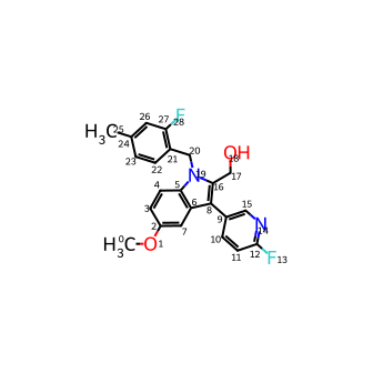 COc1ccc2c(c1)c(-c1ccc(F)nc1)c(CO)n2Cc1ccc(C)cc1F